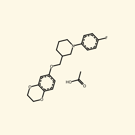 CC(=O)O.Fc1ccc(N2CCCC(COc3ccc4c(c3)OCCO4)C2)cc1